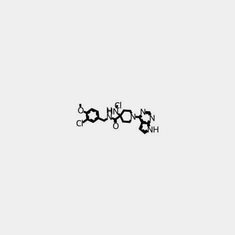 COc1ccc(CNC(=O)C2(NCl)CCN(c3ncnc4[nH]ccc34)CC2)cc1Cl